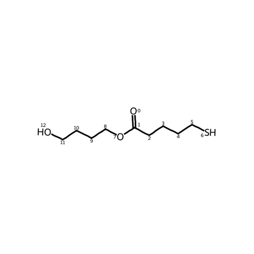 O=C(CCCCS)OCCCCO